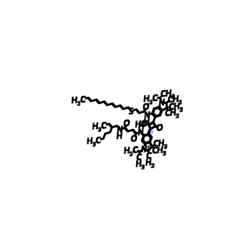 CCCCCCCCCCCCSCCC(=O)Nc1cc2c(cc1C1=C(O)/C(=c3/cc4c(cc3NC(=O)CCC(=O)NCC(CC)CCCC)=[N+](C(C)C)C(C)C4(C)C)C1=O)C(C)(C)C(C)N2C(C)C